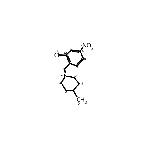 CC1CCN(Cc2ccc([N+](=O)[O-])cc2Cl)CC1